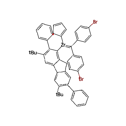 CC(C)(C)c1cc2c(cc1-c1ccccc1)Cc1c-2cc(C(C)(C)C)c(-c2ccccc2)[c]1[Zr]([C]1=CC=CC1)=[C](c1ccc(Br)cc1)c1ccc(Br)cc1